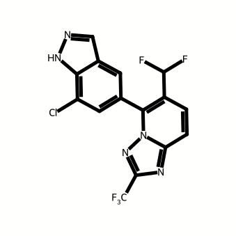 FC(F)c1ccc2nc(C(F)(F)F)nn2c1-c1cc(Cl)c2[nH]ncc2c1